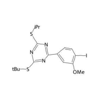 COc1cc(-c2nc(SC(C)C)nc(SC(C)(C)C)n2)ccc1I